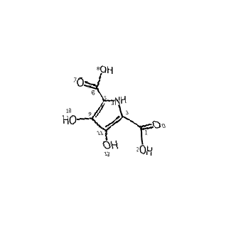 O=C(O)c1[nH]c(C(=O)O)c(O)c1O